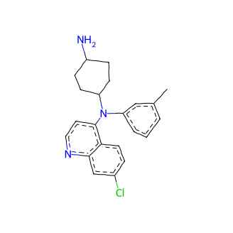 Cc1cccc(N(c2ccnc3cc(Cl)ccc23)C2CCC(N)CC2)c1